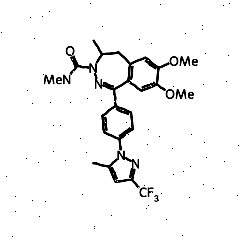 CNC(=O)N1N=C(c2ccc(-n3nc(C(F)(F)F)cc3C)cc2)c2cc(OC)c(OC)cc2CC1C